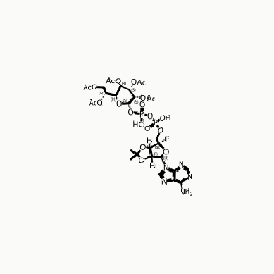 CC(=O)OC[C@@H](OC(C)=O)[C@H]1O[C@@H](OP(=O)(O)OP(=O)(O)OC[C@@]2(F)O[C@@H](n3cnc4c(N)ncnc43)[C@@H]3OC(C)(C)O[C@@H]32)[C@@H](OC(C)=O)[C@@H](OC(C)=O)[C@@H]1OC(C)=O